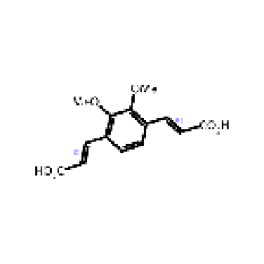 COc1c(/C=C/C(=O)O)ccc(/C=C/C(=O)O)c1OC